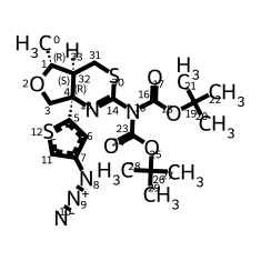 C[C@H]1OC[C@]2(c3cc(N=[N+]=[N-])cs3)N=C(N(C(=O)OC(C)(C)C)C(=O)OC(C)(C)C)SC[C@H]12